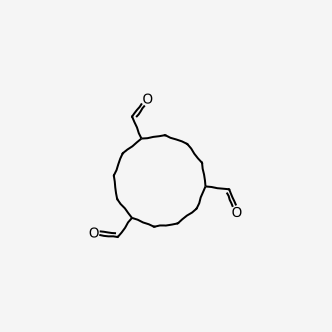 O=CC1CCCC(C=O)CCCC(C=O)CCC1